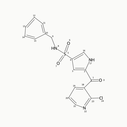 O=C(c1cc(S(=O)(=O)NCc2ccccc2)c[nH]1)c1cccnc1Cl